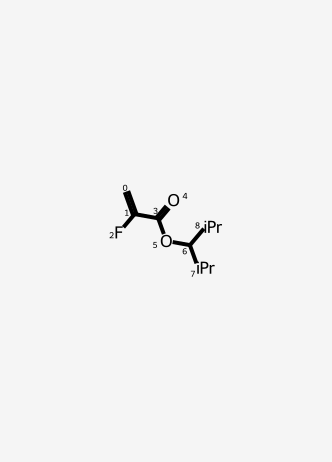 C=C(F)C(=O)OC(C(C)C)C(C)C